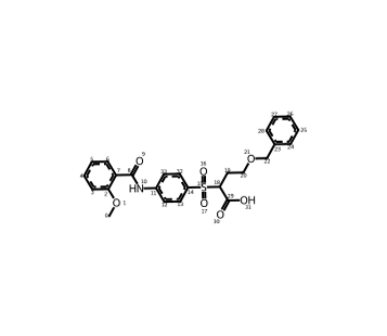 COc1ccccc1C(=O)Nc1ccc(S(=O)(=O)C(CCOCc2ccccc2)C(=O)O)cc1